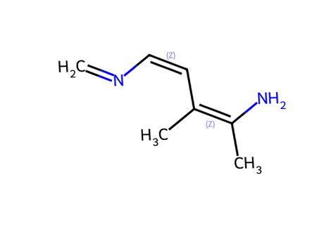 C=N/C=C\C(C)=C(\C)N